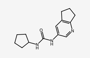 O=C(Nc1cnc2c(c1)CCC2)NC1CCCC1